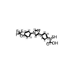 O=C(O)N(S)c1ccc(-c2cn(-c3ccc(OC(F)(F)F)cc3)cn2)cc1